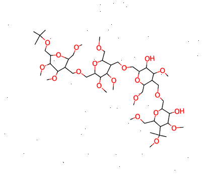 COCC1OC(COCC2C(COC)OC(COCC3C(COC)OC(COC(C)(C)C)C(OC)C3OC)C(OC)C2OC)C(O)C(OC)C1COCC1OC(COC)C(C(C)(C)OC)C(OC)C1O